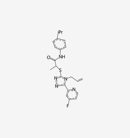 C=CCn1c(SC(C)C(=O)Nc2ccc(C(C)C)cc2)nnc1-c1cc(F)ccn1